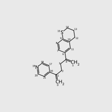 C=C(CCC(=C)c1ccc2c(c1)CCCS2)c1ccncc1